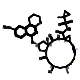 CC[C@H]1CC(=O)N2C[C@H](Oc3nc4c(c5cc(OC)ccc35)CCCO4)C[C@H]2C(=O)N[C@]2(C(=O)NS(=O)(=O)C3(C)CC3)CC2/C=C\CC[C@H](C)C1